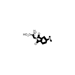 CN(C)c1ccc2c(c1)C(=O)N(C[C@H](N)C(=O)O)C2=O